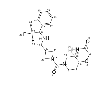 O=C1COC2CCN(C(=O)N3CC(CNC(c4ccccc4)C(F)(F)F)C3)C[C@H]2N1